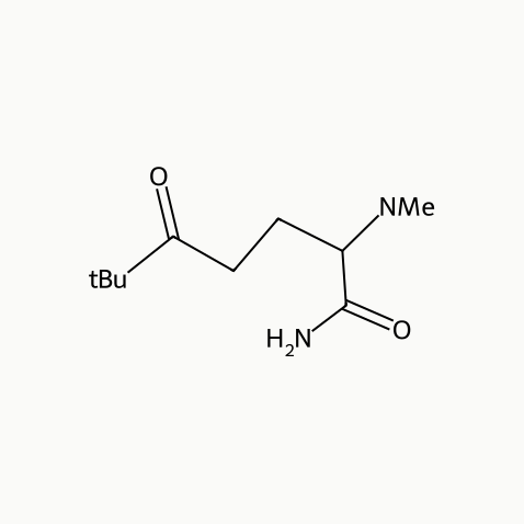 CNC(CCC(=O)C(C)(C)C)C(N)=O